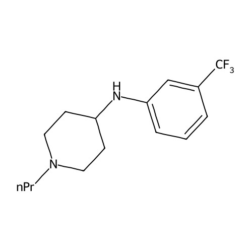 CCCN1CCC(Nc2cccc(C(F)(F)F)c2)CC1